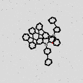 c1ccc(-c2ccc(N(c3ccccc3)c3ccc4c(c3)C3(c5ccccc5-c5cc(N(c6ccccc6)c6cccc(-c7ccccc7)c6)ccc53)c3ccccc3C43c4ccccc4-c4ccccc43)cc2)cc1